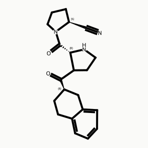 N#C[C@@H]1CCCN1C(=O)[C@@H]1NCCC1C(=O)[C@@H]1CCc2ccccc2C1